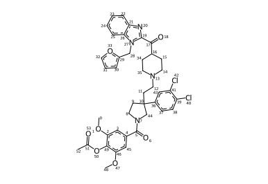 COc1cc(C(=O)N2CCC(CCN3CCC(C(=O)c4nc5ccccc5n4Cc4ccco4)CC3)(c3ccc(Cl)c(Cl)c3)C2)cc(OC)c1OC(C)=O